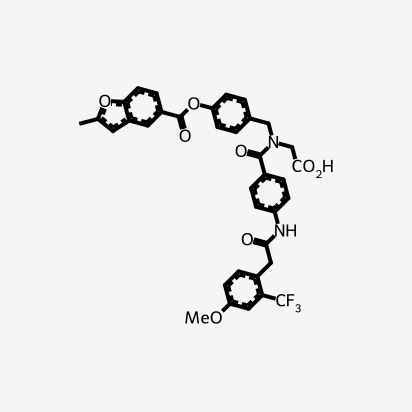 COc1ccc(CC(=O)Nc2ccc(C(=O)N(CC(=O)O)Cc3ccc(OC(=O)c4ccc5oc(C)cc5c4)cc3)cc2)c(C(F)(F)F)c1